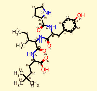 CCC(C)C(NC(=O)C(Cc1ccc(O)cc1)NC(=O)[C@H]1CCCN1)C(=O)NC(CCC(C)(C)C)C(=O)O